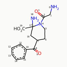 NCC(=O)N1CCC(C(=O)c2ccccc2)CC1(N)C(=O)O